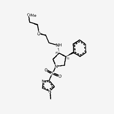 COCCOCCN[C@H]1CN(S(=O)(=O)c2cn(C)cn2)C[C@@H]1c1ccccc1